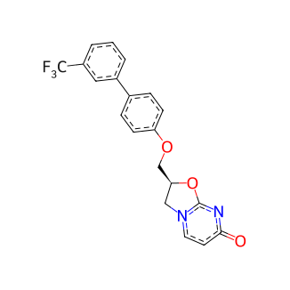 O=c1ccn2c(n1)O[C@H](COc1ccc(-c3cccc(C(F)(F)F)c3)cc1)C2